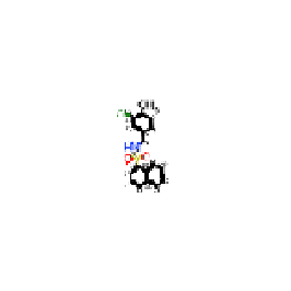 Cc1ccc(CNS(=O)(=O)c2cccc3ccccc23)cc1Cl